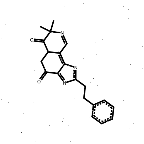 CC1(C)N=CC2=C3N=C(CCc4ccccc4)N=C3C(=O)CC2C1=O